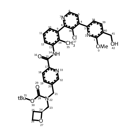 COc1nc(-c2ccnc(-c3cccc(NC(=O)c4ccc(CN(C[C@@H]5CCO5)C(=O)OC(C)(C)C)cn4)c3C)c2Cl)ccc1CO